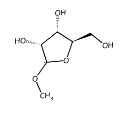 CO[C]1O[C@H](CO)[C@@H](O)[C@H]1O